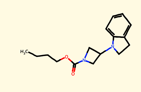 CCCCOC(=O)N1CC(N2CCc3ccccc32)C1